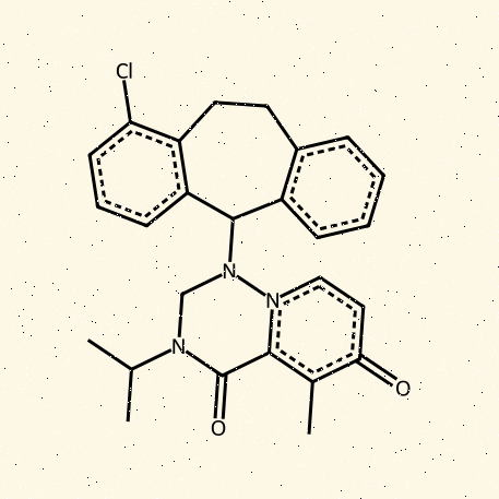 Cc1c2n(ccc1=O)N(C1c3ccccc3CCc3c(Cl)cccc31)CN(C(C)C)C2=O